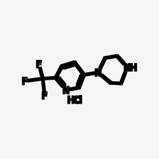 Cl.FC(F)(F)c1ccc(N2CCNCC2)cn1